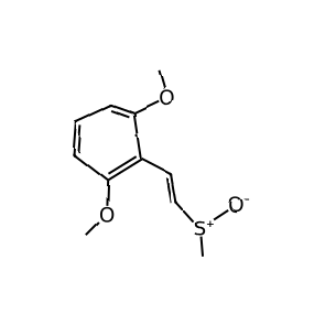 COc1cccc(OC)c1C=C[S+](C)[O-]